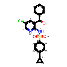 O=C(c1ccccc1)c1cc(Cl)cnc1NS(=O)(=O)c1ccc(C2CC2)cc1